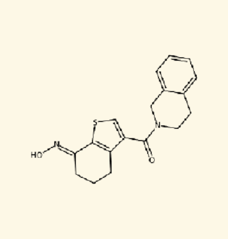 O=C(c1csc2c1CCCC2=NO)N1CCc2ccccc2C1